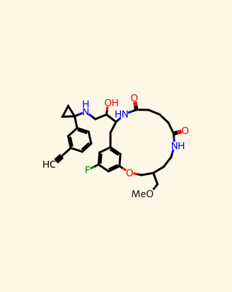 C#Cc1cccc(C2(NCC(O)C3Cc4cc(F)cc(c4)OCC(COC)CCNC(=O)CCCC(=O)N3)CC2)c1